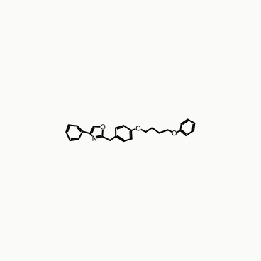 c1ccc(OCCCCOc2ccc(Cc3nc(-c4ccccc4)co3)cc2)cc1